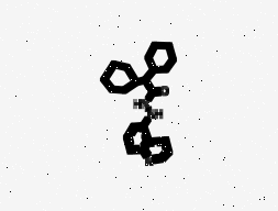 O=C(NNc1cccc2ncccc12)C(C1CCCCC1)C1CCCCC1